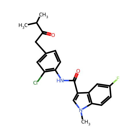 CC(C)C(=O)Cc1ccc(NC(=O)c2cn(C)c3ccc(F)cc23)c(Cl)c1